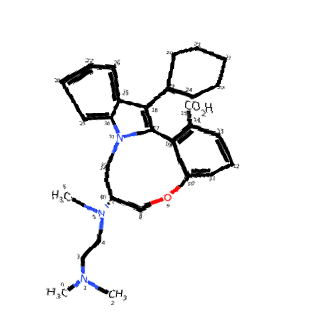 CN(C)CCN(C)[C@H]1COc2cccc(C(=O)O)c2-c2c(C3CCCCC3)c3ccccc3n2C1